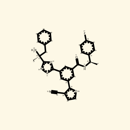 C[C@@H](NC(=O)c1cc(-c2nnc([C@@](C)(N)Cc3ccccc3)o2)cc(-c2occc2C#N)c1)c1ccc(F)cc1